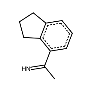 CC(=N)c1cccc2c1CCC2